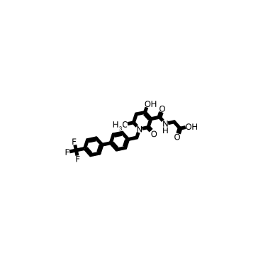 CC1CC(O)=C(C(=O)NCC(=O)O)C(=O)N1Cc1ccc(-c2ccc(C(F)(F)F)cc2)cc1